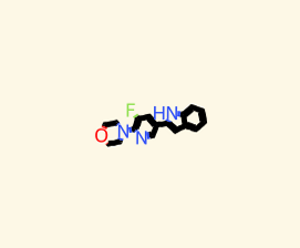 Fc1cc(-c2cc3ccccc3[nH]2)cnc1N1CCOCC1